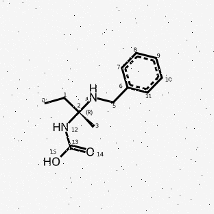 CC[C@](C)(NCc1ccccc1)NC(=O)O